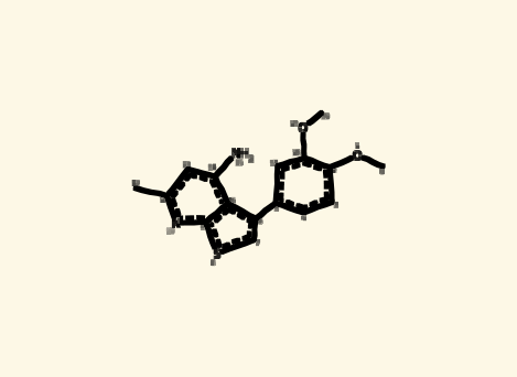 COc1ccc(-c2csc3nc(C)cc(N)c23)cc1OC